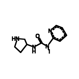 O=C(NC1CCNC1)N(I)c1ccccn1